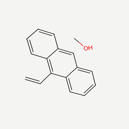 C=Cc1c2ccccc2cc2ccccc12.CO